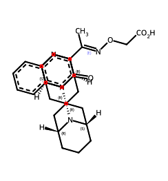 C/C(=N\OCC(=O)O)c1nc2ccccc2n([C@H]2C[C@H]3CCC[C@@H](C2)N3[C@H]2C[C@@H]3CCC[C@@H](C3)C2)c1=O